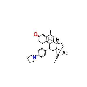 CC#C[C@]1(C(C)=O)CC[C@H]2[C@@H]3CC(C)C4=CC(=O)CCC4=C3[C@@H](c3ccc(N4CCCC4)cc3)C[C@@]21C